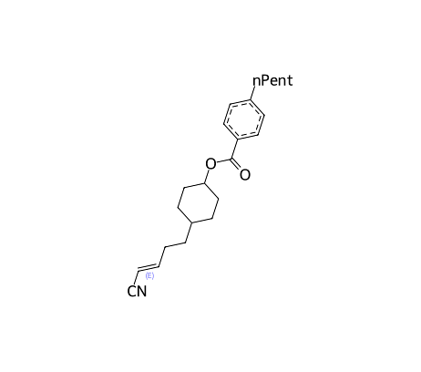 CCCCCc1ccc(C(=O)OC2CCC(CC/C=C/C#N)CC2)cc1